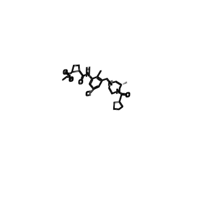 Cc1c(CN2CCN(C(=O)C3CCCC3)[C@@H](C)C2)cc(Cl)cc1NC(=O)C1CCC1S(C)(=O)=O